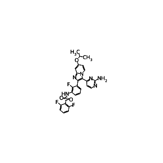 CC(C)Oc1ccn2c(-c3ccnc(N)n3)c(-c3cccc(NS(=O)(=O)c4c(F)cccc4F)c3F)nc2c1